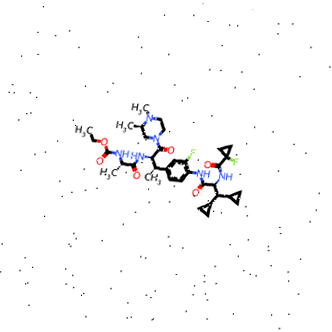 CCOC(=O)N[C@@H](C)C(=O)N[C@@H](C(=O)N1CCN(C)[C@H](C)C1)[C@@H](C)c1ccc(NC(=O)[C@@H](NC(=O)C2(F)CC2)C(C2CC2)C2CC2)c(F)c1